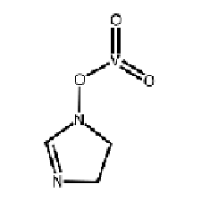 [O]=[V](=[O])[O]N1C=NCC1